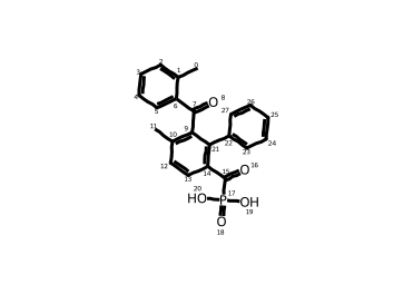 Cc1ccccc1C(=O)c1c(C)ccc(C(=O)P(=O)(O)O)c1-c1ccccc1